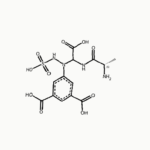 C[C@H](N)C(=O)NC(C(=O)O)N(NS(=O)(=O)O)c1cc(C(=O)O)cc(C(=O)O)c1